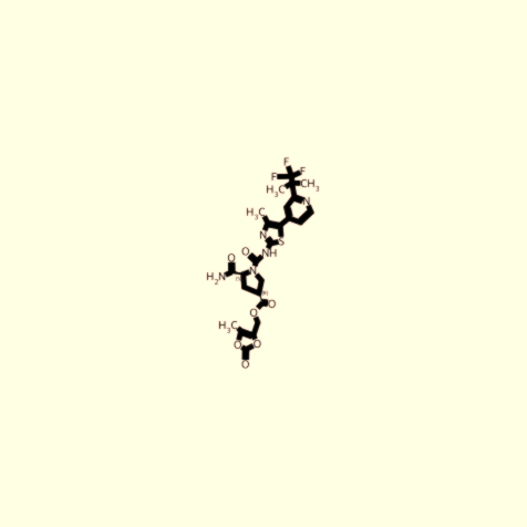 Cc1nc(NC(=O)N2C[C@H](C(=O)OCc3oc(=O)oc3C)C[C@H]2C(N)=O)sc1-c1ccnc(C(C)(C)C(F)(F)F)c1